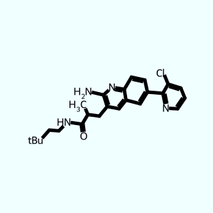 CC(Cc1cc2cc(-c3ncccc3Cl)ccc2nc1N)C(=O)NCCC(C)(C)C